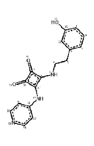 O=c1c(NCCc2cccc(O)c2)c(Nc2ccncc2)c1=O